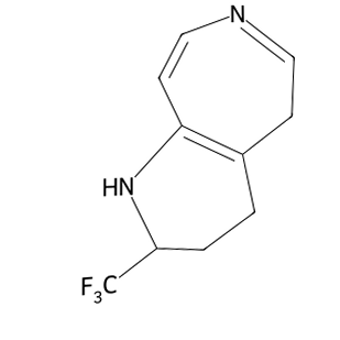 FC(F)(F)C1CCC2=C(C=CN=CC2)N1